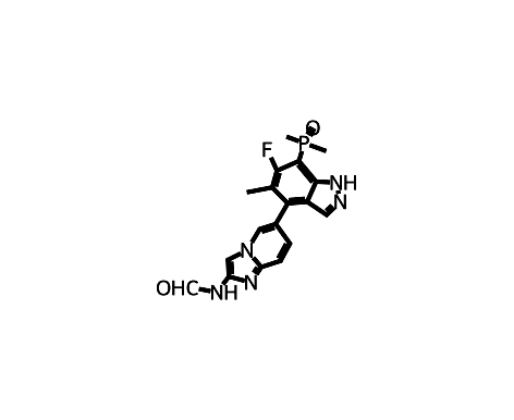 Cc1c(F)c(P(C)(C)=O)c2[nH]ncc2c1-c1ccc2nc(NC=O)cn2c1